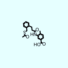 CC(=O)SCc1ccccc1CCC(=O)Nc1cc(C(=O)O)ccc1C